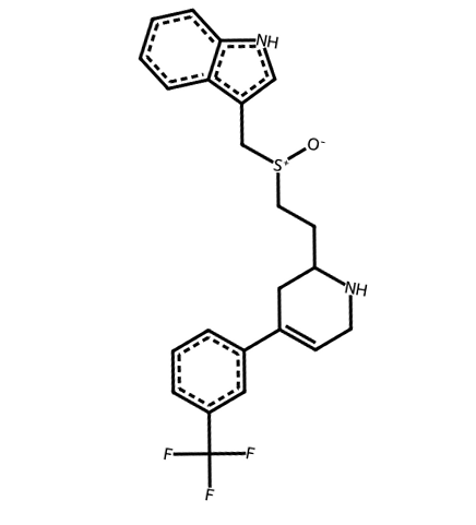 [O-][S+](CCC1CC(c2cccc(C(F)(F)F)c2)=CCN1)Cc1c[nH]c2ccccc12